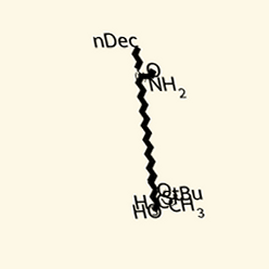 CCCCCCCCCCCCCC[C@@H](CCCCCCCCCCCCCC=CC(CCO)O[Si](C)(C)C(C)(C)C)C(N)=O